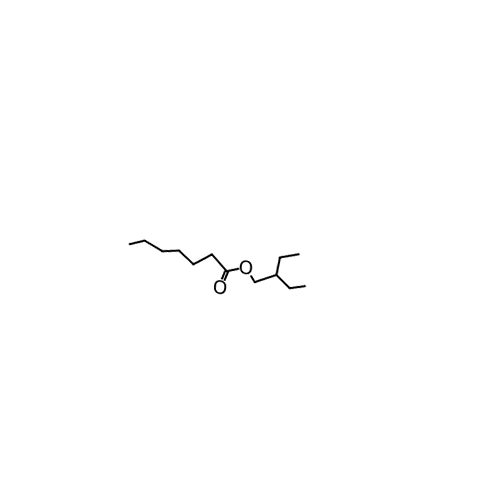 CCCCCCC(=O)OCC(CC)CC